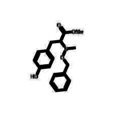 COC(=O)C(Cc1ccc(O)cc1)N(C)OCc1ccccc1